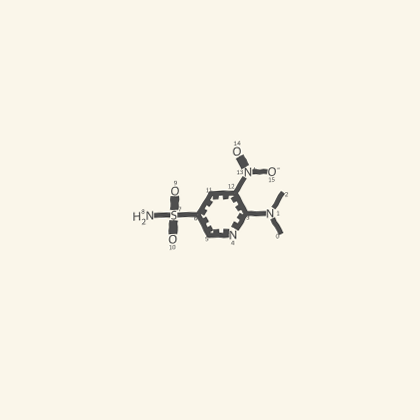 CN(C)c1ncc(S(N)(=O)=O)cc1[N+](=O)[O-]